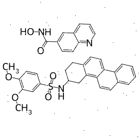 COc1ccc(S(=O)(=O)NC2CCc3ccc4c(ccc5ccccc54)c3C2)cc1OC.O=C(NO)c1ccc2ncccc2c1